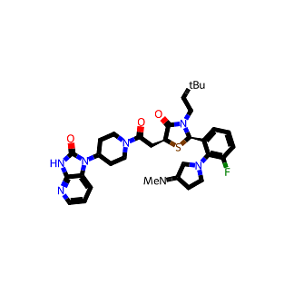 CNC1CCN(c2c(F)cccc2[C@H]2S[C@@H](CC(=O)N3CCC(n4c(=O)[nH]c5ncccc54)CC3)C(=O)N2CCC(C)(C)C)C1